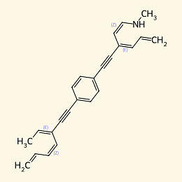 C=C/C=C\C(C#Cc1ccc(C#CC(/C=C\NC)=C/C=C)cc1)=C/C